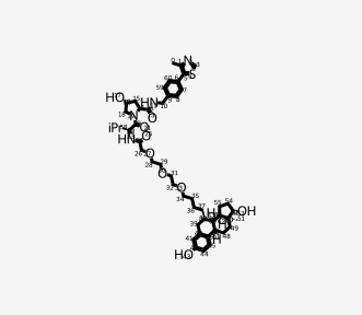 Cc1ncsc1-c1ccc(CNC(=O)C2C[C@@H](O)CN2C(=O)[C@@H](NC(=O)COCCOCCOCCCC[C@@H]2Cc3cc(O)ccc3[C@H]3CC[C@]4(C)[C@@H](O)CC[C@H]4[C@H]23)C(C)C)cc1